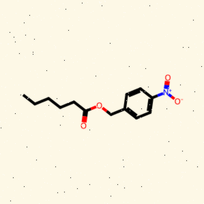 [CH2]CCCCC(=O)OCc1ccc([N+](=O)[O-])cc1